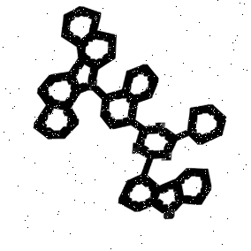 c1ccc(-c2nc(-c3ccc(-n4c5ccc6ccccc6c5c5ccc6ccccc6c54)c4ccccc34)nc(-c3cccc4oc5ccccc5c34)n2)cc1